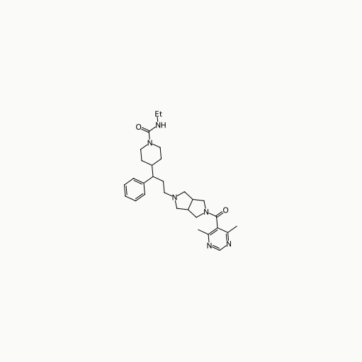 CCNC(=O)N1CCC(C(CCN2CC3CN(C(=O)c4c(C)ncnc4C)CC3C2)c2ccccc2)CC1